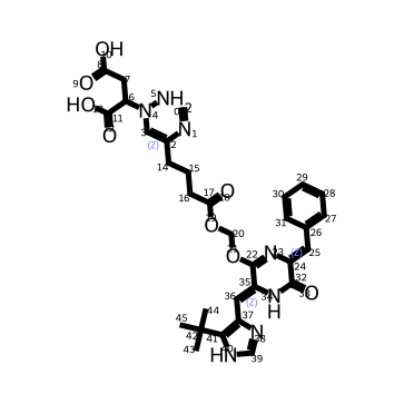 C=N/C(=C\N(N)C(CC(=O)O)C(=O)O)CCCC(=O)OCOc1n/c(=C\c2ccccc2)c(=O)[nH]/c1=C\c1nc[nH]c1C(C)(C)C